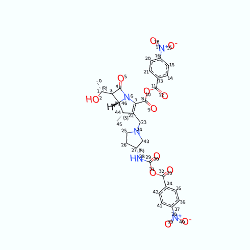 C[C@@H](O)C1C(=O)N2C(C(=O)OC(=O)c3ccc([N+](=O)[O-])cc3)=C(CN3CC[C@@H](NC(=O)OC(=O)c4ccc([N+](=O)[O-])cc4)C3)[C@H](C)[C@H]12